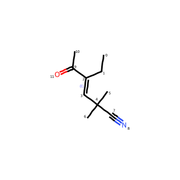 CC/C(=C\C(C)(C)C#N)C(C)=O